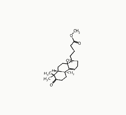 COC(=O)CCCC1CCC=C2C1(C)CC[C@H]1C(C)(C)C(=O)CC[C@]21C